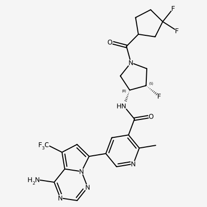 Cc1ncc(-c2cc(C(F)(F)F)c3c(N)ncnn23)cc1C(=O)N[C@@H]1CN(C(=O)C2CCC(F)(F)C2)C[C@@H]1F